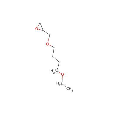 C[SiH2]O[SiH2]CCCOCC1CO1